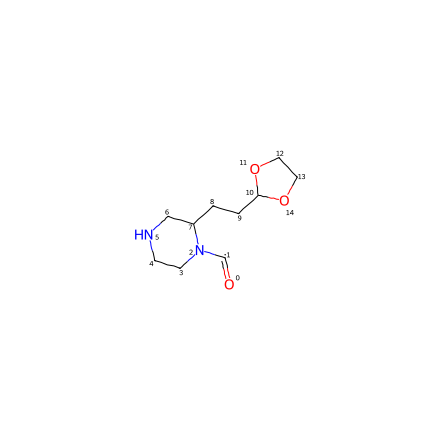 O=[C]N1CCNCC1CCC1OCCO1